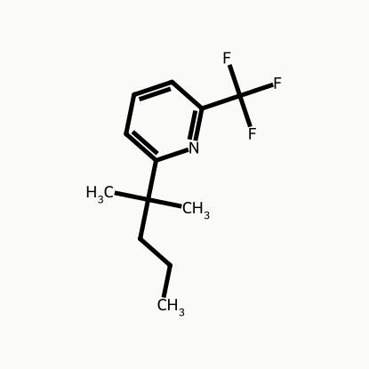 CCCC(C)(C)c1cccc(C(F)(F)F)n1